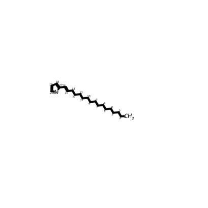 CCCCCCCCCCCCCCC/C=C/C1=CC=C[N]1